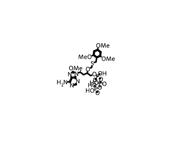 COc1cc(OC)c(CSCOC(COP(=O)(O)OP(=O)(O)OP(=O)(O)O)C[C@@H](OC)n2cnc3c(N)ncnc32)c(OC)c1